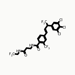 O=C(CCNC(=O)c1ccc(/C=C/C(c2cc(Cl)c(Cl)c(Cl)c2)C(F)(F)F)cc1C(F)(F)F)NCC(F)(F)F